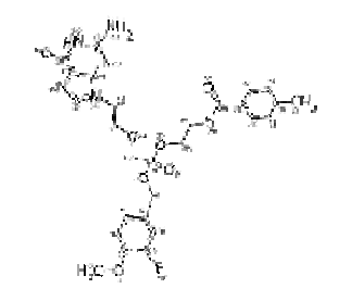 COc1ccc(COP(=O)(COCCn2cnc3c(=O)[nH]c(N)nc32)OCCSC(=O)c2ccc(C)cc2)cc1F